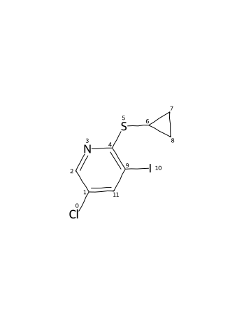 Clc1cnc(SC2CC2)c(I)c1